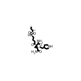 CC[C@H](C)S(=O)(=O)NCCCC(=O)[C@]1(C(N)=O)C[C@]1(CCC1CCNCC1)C(N)=O